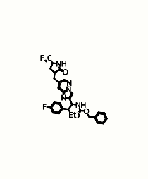 CC[C@@H](c1ccc(F)cc1)[C@H](NC(=O)OCc1ccccc1)c1cn2ncc(CC3C[C@@H](C(F)(F)F)NC3=O)cc2n1